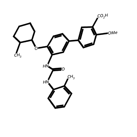 COc1ccc(-c2ccc(OC3CCCCC3C)c(NC(=O)Nc3ccccc3C)c2)cc1C(=O)O